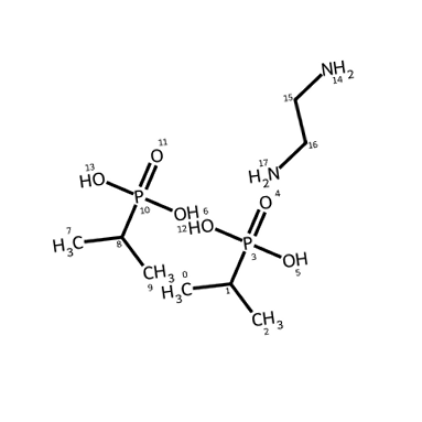 CC(C)P(=O)(O)O.CC(C)P(=O)(O)O.NCCN